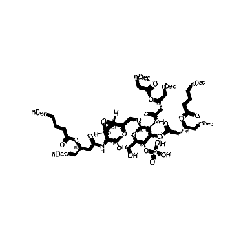 CCCCCCCCCCCCCC(=O)O[C@H](CCCCCCCCCCC)CC(=O)NC1[C@H]2O[C@@H]2C(CO[C@@H]2OC(CO)[C@@H](OP(=O)(O)O)C(OC(=O)C[C@@H](CCCCCCCCCCC)OC(=O)CCCCCCCCCCCCC)[C@@H]2NC(=O)C[C@@H](CCCCCCCCCCC)OC(=O)CCCCCCCCCCC)O[C@@H]1O